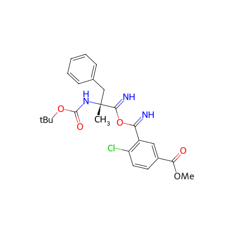 COC(=O)c1ccc(Cl)c(C(=N)OC(=N)[C@@](C)(Cc2ccccc2)NC(=O)OC(C)(C)C)c1